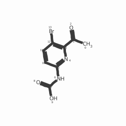 CC(=O)c1nc(NC(=O)O)ccc1Br